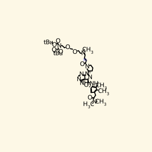 Cc1c(CC(=O)N(C)C)ccc(NC(=O)c2nn([C@@H]3CCCN(C(=O)/C=C/CN(C)CCOCCOCCN(C(=O)OC(C)(C)C)C(=O)OC(C)(C)C)C3)c3ncnc(N)c23)c1C